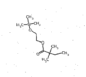 CCC(C)(C)C(=O)OCCO[Si](C)(C)C